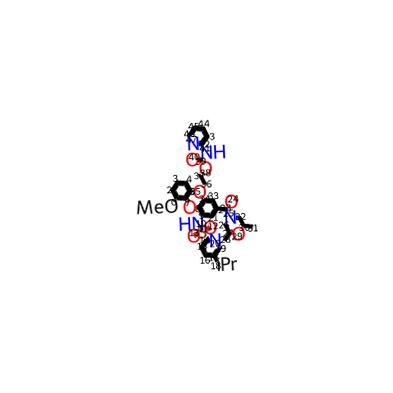 COc1ccccc1Oc1c(NS(=O)(=O)c2ccc(C(C)C)cn2)cc(C(=O)N2CC(C)OC(C)C2)cc1OCCOC(=O)Nc1ccccn1